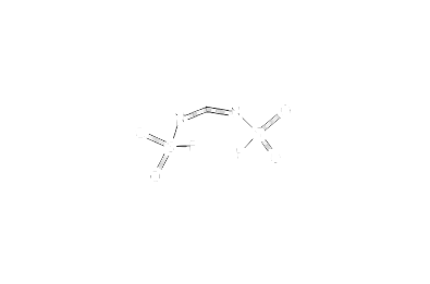 O=S(=O)(F)N=C=NS(=O)(=O)F